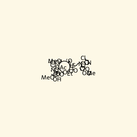 CC[C@H]1OC(=O)[C@H](C)[C@@H](O[C@H]2C[C@@](C)(OC)[C@@H](O)[C@H](C)O2)[C@H](C)[C@@H](O[C@@H]2O[C@H](C)C[C@H](N(C)CC(C)C)[C@H]2OC(C)=O)[C@](C)(OC)C[C@@H](C)C(=O)[C@H](C)[C@H]2C(SCCN(Cc3c(Cl)cncc3Cl)c3ccc(OC)c(OC4CCCC4)c3)C(=O)O[C@@]21C